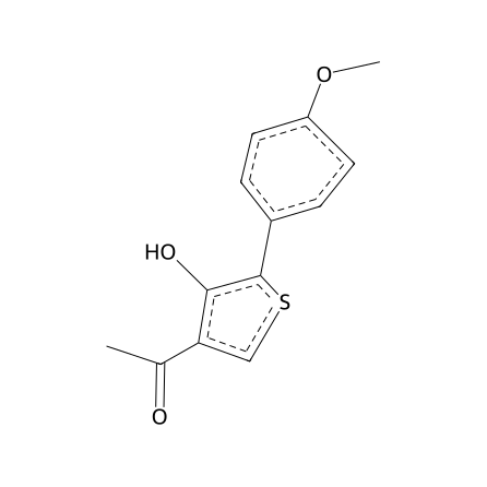 COc1ccc(-c2scc(C(C)=O)c2O)cc1